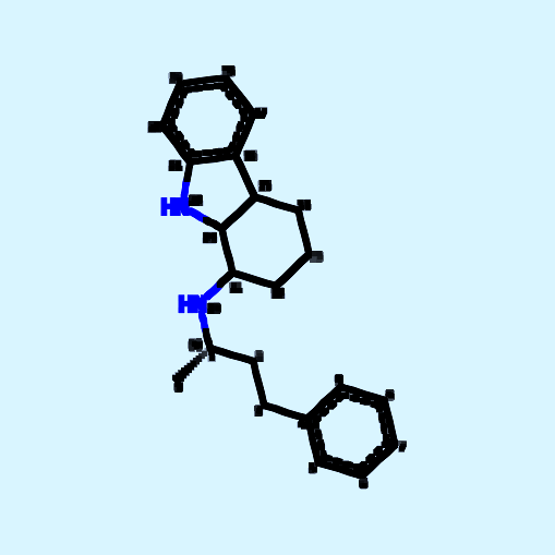 C[C@@H](CCc1ccccc1)NC1CCCC2c3ccccc3NC12